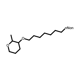 CCCCCCCCCCCCCCCCOC1CCCOC1C